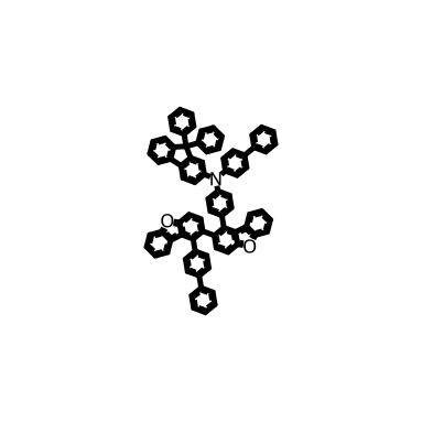 c1ccc(-c2ccc(-c3c(-c4ccc5oc6ccccc6c5c4-c4ccc(N(c5ccc(-c6ccccc6)cc5)c5ccc6c(c5)C(c5ccccc5)(c5ccccc5)c5ccccc5-6)cc4)ccc4oc5ccccc5c34)cc2)cc1